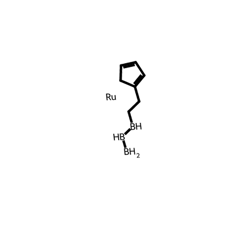 BBBCCC1=CC=CC1.[Ru]